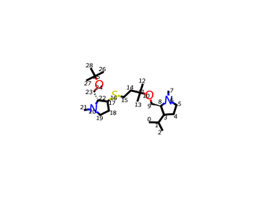 CC(C)C1CCN(C)[C@@H]1COC(C)(C)CCSC1CCN(C)[C@@H]1COC(C)(C)C